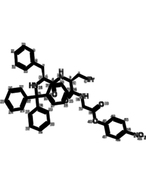 CC(C)C[C@H](NC(=O)[C@H](Cc1ccccc1)NC(c1ccccc1)(c1ccccc1)c1ccccc1)C(=O)NCC(=O)Oc1ccc([N+](=O)[O-])cc1